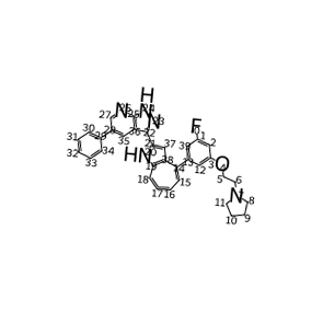 Fc1cc(OCCN2CCCC2)cc(C2=CC=C=Cc3[nH]c(-c4n[nH]c5ncc(-c6ccccc6)cc45)cc32)c1